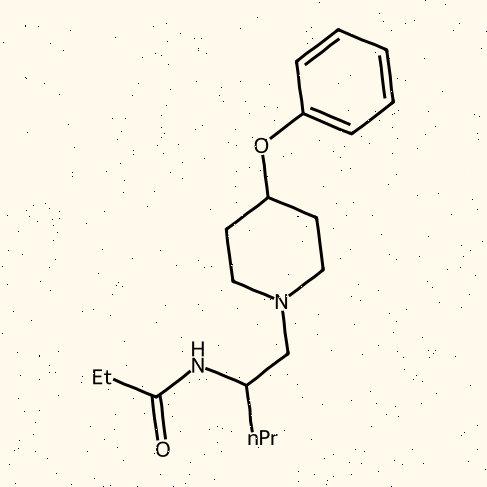 CCCC(CN1CCC(Oc2ccccc2)CC1)NC(=O)CC